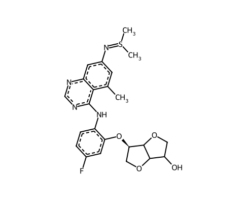 Cc1cc(N=S(C)C)cc2ncnc(Nc3ccc(F)cc3O[C@@H]3COC4C(O)COC43)c12